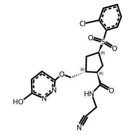 N#CCNC(=O)[C@@H]1C[C@H](S(=O)(=O)c2ccccc2Cl)C[C@H]1COc1ccc(O)nn1